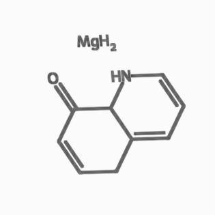 O=C1C=CCC2=CC=CNC12.[MgH2]